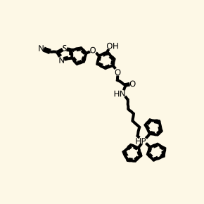 N#Cc1nc2ccc(Oc3ccc(OCC(=O)NCCCCCC[PH](c4ccccc4)(c4ccccc4)c4ccccc4)cc3O)cc2s1